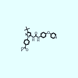 COC(=O)c1ccc(-n2nc(C(C)(C)C)cc2NC(=O)Nc2ccc(Oc3ccncc3)cc2)cc1